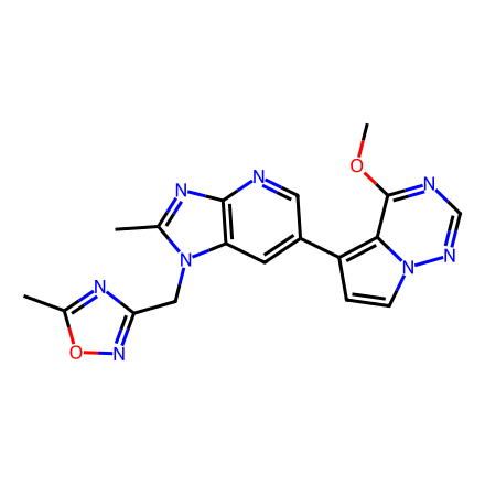 COc1ncnn2ccc(-c3cnc4nc(C)n(Cc5noc(C)n5)c4c3)c12